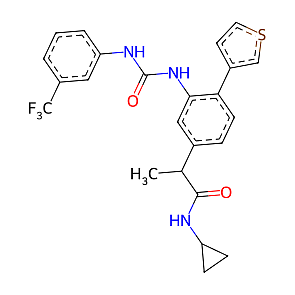 CC(C(=O)NC1CC1)c1ccc(-c2ccsc2)c(NC(=O)Nc2cccc(C(F)(F)F)c2)c1